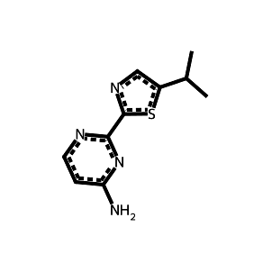 CC(C)c1cnc(-c2nccc(N)n2)s1